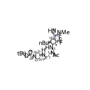 C=C(CCN(CNc1cc(C(F)F)c(/C(C=N)=C/NC)cc1CCCC)C(C)=O)NC1CCN(CC(=O)OC(C)(C)C)CC1